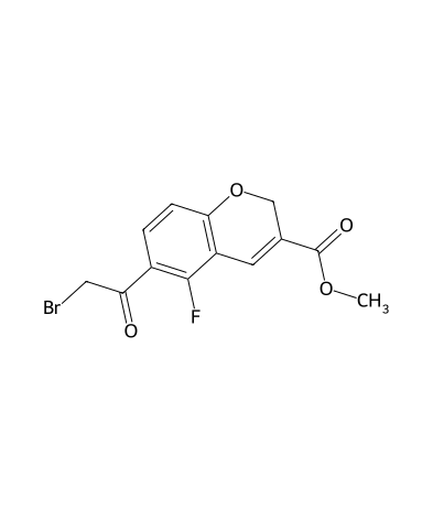 COC(=O)C1=Cc2c(ccc(C(=O)CBr)c2F)OC1